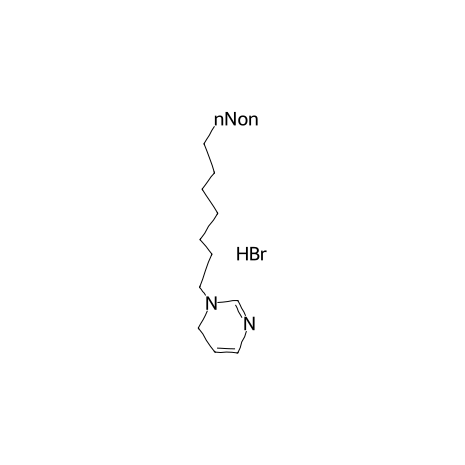 Br.CCCCCCCCCCCCCCCCN1C=NC=CC1